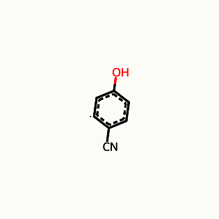 N#Cc1[c]cc(O)cc1